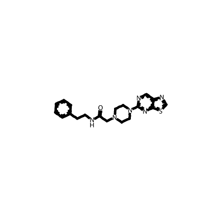 O=C(CN1CCN(c2ncc3ncsc3n2)CC1)NCCc1ccccc1